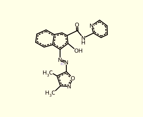 Cc1noc(/N=N/c2c(O)c(C(=O)Nc3ccccn3)cc3ccccc23)c1C